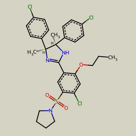 CCCOc1cc(Cl)c(S(=O)(=O)N2CCCC2)cc1C1=N[C@@](C)(c2ccc(Cl)cc2)[C@@](C)(c2ccc(Cl)cc2)N1